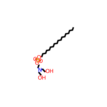 CCCCCCCCCCCCCCCCCCOS(=O)(=O)OCCN(CCO)CCO